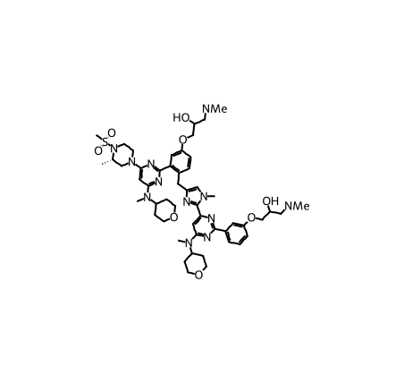 CNCC(O)COc1cccc(-c2nc(-c3nc(Cc4ccc(OCC(O)CNC)cc4-c4nc(N5CCN(S(C)(=O)=O)[C@@H](C)C5)cc(N(C)C5CCOCC5)n4)cn3C)cc(N(C)C3CCOCC3)n2)c1